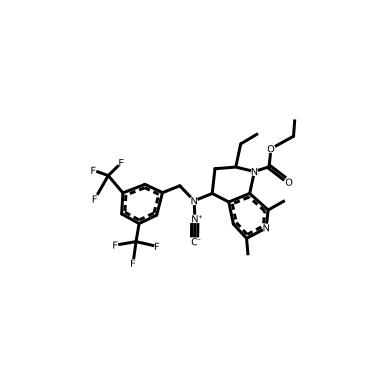 [C-]#[N+]N(Cc1cc(C(F)(F)F)cc(C(F)(F)F)c1)C1CC(CC)N(C(=O)OCC)c2c1cc(C)nc2C